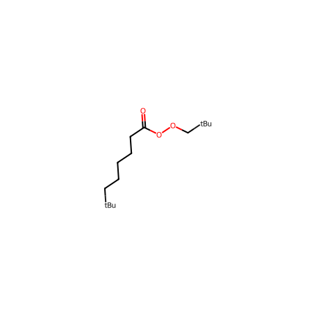 CC(C)(C)CCCCCC(=O)OOCC(C)(C)C